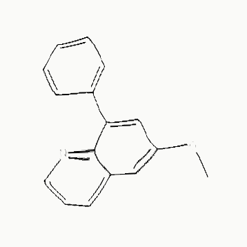 COc1cc(-c2ccccc2)c2ncccc2c1